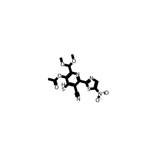 COC(OC)c1nc(-c2ncc([N+](=O)[O-])s2)c(C#N)c(S)c1OC(C)=O